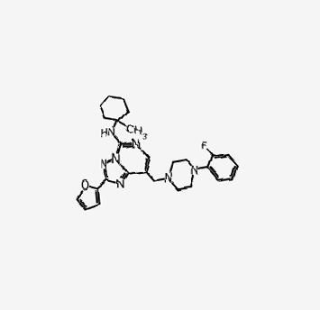 CC1(Nc2ncc(CN3CCN(c4ccccc4F)CC3)c3nc(-c4ccco4)nn23)CCCCC1